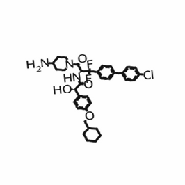 NC1CCN(C(=O)[C@H](NC(=O)[C@@H](O)c2ccc(OCC3CCCCC3)cc2)C(F)(F)c2ccc(-c3ccc(Cl)cc3)cc2)CC1